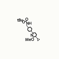 COc1nc(-c2ccc(CNC(=O)OC(C)(C)C)cc2)ccc1C1CC1